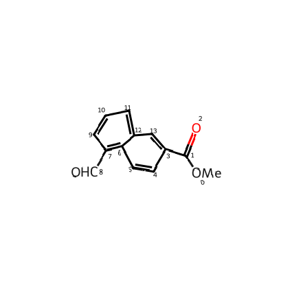 COC(=O)c1ccc2c(C=O)cccc2c1